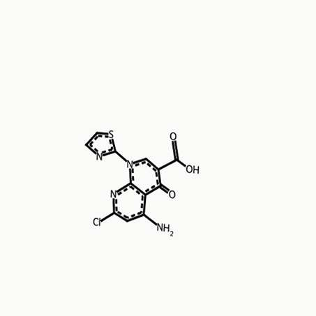 Nc1cc(Cl)nc2c1c(=O)c(C(=O)O)cn2-c1nccs1